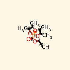 C#CCOC(=O)P(=O)(OC(C)CC)OC(C)CC